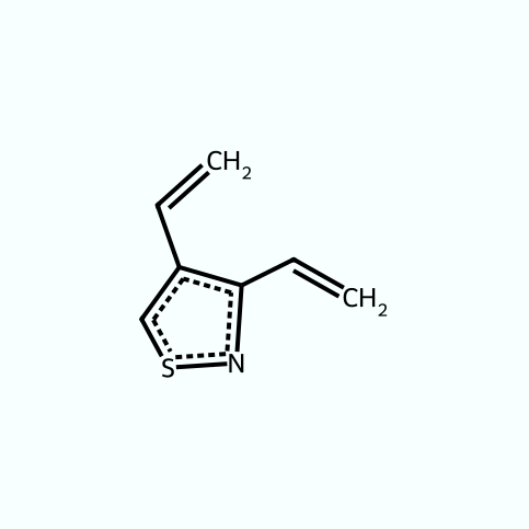 C=Cc1csnc1C=C